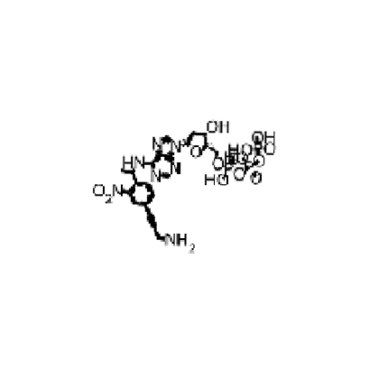 CC(Nc1ncnc2c1ncn2[C@H]1CC(O)[C@@H](COP(=O)(O)OP(=O)(O)OP(=O)(O)O)O1)c1ccc(C#CCN)cc1[N+](=O)[O-]